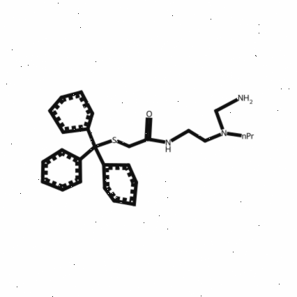 CCCN(CN)CCNC(=O)CSC(c1ccccc1)(c1ccccc1)c1ccccc1